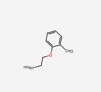 CCCCCCCCCOc1ccccc1C=O